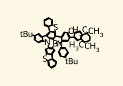 CC(C)(C)c1ccc(N2B3c4cc5c(cc4-n4c6ccc(C(C)(C)C)cc6c6c7c(sc8ccccc87)c(c3c64)-c3cc4oc6cc7c(cc6c4cc32)C(C)(C)CCC7(C)C)sc2ccccc25)cc1